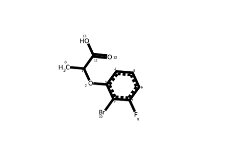 CC(Oc1cccc(F)c1Br)C(=O)O